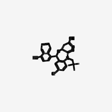 CC(C)(C)CN1C(=O)C(CC(=O)O)OC(c2ccc(O)c3ccccc23)c2cc(Cl)ccc21